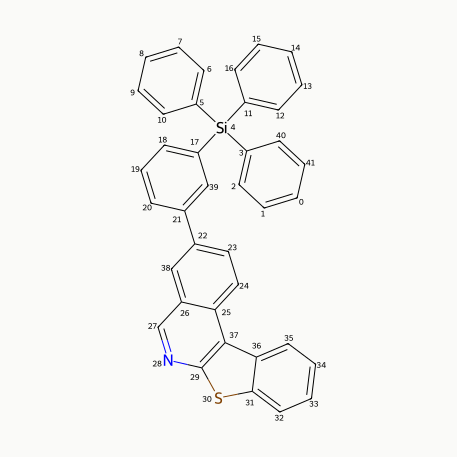 c1ccc([Si](c2ccccc2)(c2ccccc2)c2cccc(-c3ccc4c(cnc5sc6ccccc6c54)c3)c2)cc1